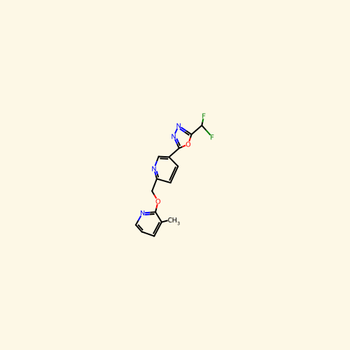 Cc1cccnc1OCc1ccc(-c2nnc(C(F)F)o2)cn1